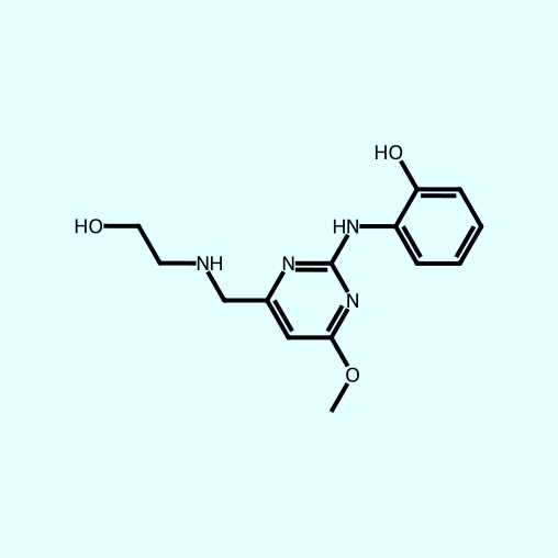 COc1cc(CNCCO)nc(Nc2ccccc2O)n1